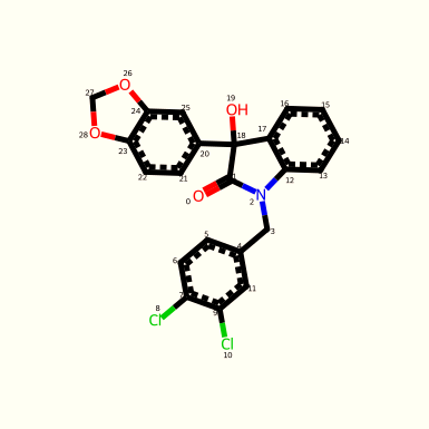 O=C1N(Cc2ccc(Cl)c(Cl)c2)c2ccccc2C1(O)c1ccc2c(c1)OCO2